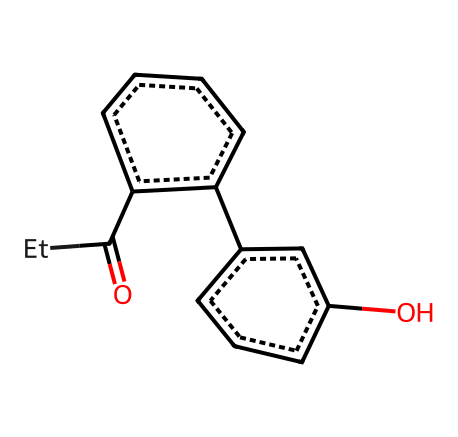 CCC(=O)c1ccccc1-c1cccc(O)c1